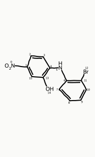 O=[N+]([O-])c1ccc(Nc2[c]cccc2Br)c(O)c1